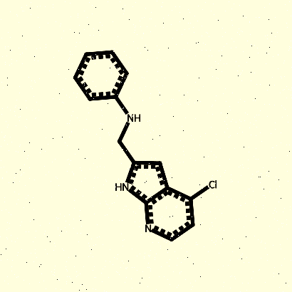 Clc1ccnc2[nH]c(CNc3ccccc3)cc12